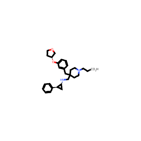 O=C(O)CCN1CCC(CN[C@@H]2C[C@H]2c2ccccc2)(Cc2cccc(O[C@@H]3CCOC3)c2)CC1